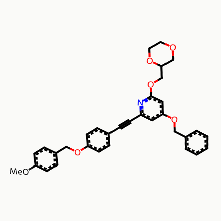 COc1ccc(COc2ccc(C#Cc3cc(OCc4ccccc4)cc(OCC4COCCO4)n3)cc2)cc1